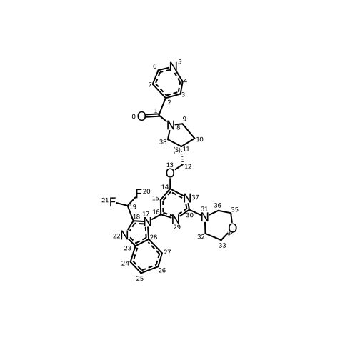 O=C(c1ccncc1)N1CC[C@H](COc2cc(-n3c(C(F)F)nc4ccccc43)nc(N3CCOCC3)n2)C1